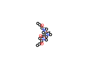 Cc1ccccc1N(c1ccc2c(c1)C1(c3ccccc3N3c4ccccc4C(C)(C)c4cccc1c43)c1cc(N(c3ccc4c(c3)oc3cc5ccccc5cc34)c3ccccc3C)c3c(oc4ccccc43)c1-2)c1ccc2c(c1)oc1cc3ccccc3cc12